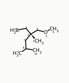 BC[C@](C)(COC)CC(C)C